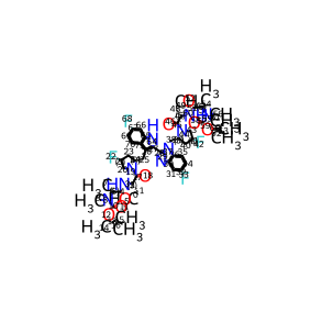 CC[C@H](NC(=O)[C@H](C)N(C)C(=O)OC(C)(C)C)C(=O)N1C[C@@H](F)C[C@H]1Cc1c(-c2nc3cc(F)ccc3n2C[C@@H]2C[C@H](F)CN2C(=O)[C@H](CC)NC(=O)[C@H](C)N(C)C(=O)OC(C)(C)C)[nH]c2cc(F)ccc12